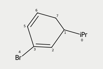 CC(C)C1C=C(Br)C=CC1